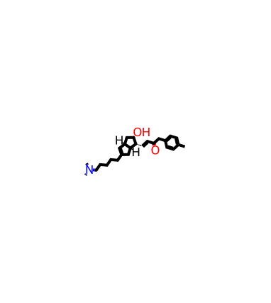 Cc1ccc(CC(=O)/C=C/[C@@H]2[C@H]3CC(CCCCCN(C)C)=C[C@H]3C[C@H]2O)cc1